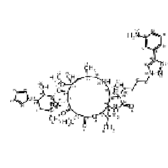 CC[C@H]1OC(=O)[C@H](C)C(=O)[C@H](C)[C@@H](O[C@@H]2O[C@H](C)CC(n3cccc3)C2O)[C@](C)(OC)C[C@@H](C)CN[C@H](C)[C@H]2N(CCCCn3cc(-c4cccc(N)c4)nn3)C(=O)O[C@]12C